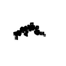 Cc1c(-c2cc3ccc(-c4ccc5[nH]ncc5c4)nc3n2CC2CC2)nn2cc(C(=O)N3CCC[C@@H](N)C3)cc(Cl)c12